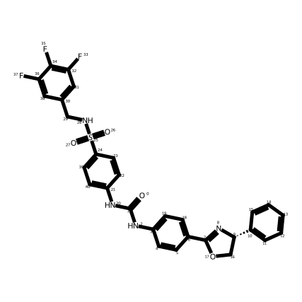 O=C(Nc1ccc(C2=N[C@H](c3ccccc3)CO2)cc1)Nc1ccc(S(=O)(=O)NCc2cc(F)c(F)c(F)c2)cc1